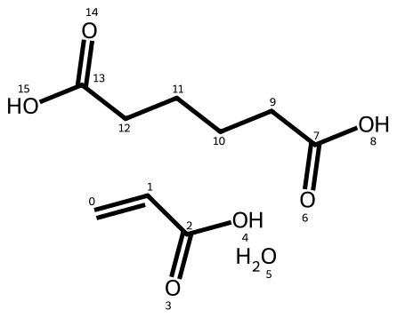 C=CC(=O)O.O.O=C(O)CCCCC(=O)O